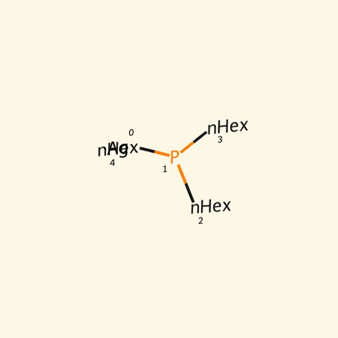 CCCCCCP(CCCCCC)CCCCCC.[Ag]